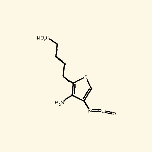 Nc1c(N=C=O)csc1CCCCC(=O)O